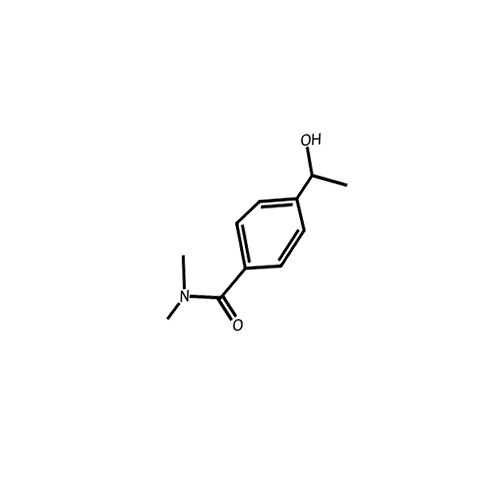 CC(O)c1ccc(C(=O)N(C)C)cc1